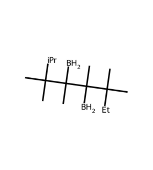 BC(C)(C(C)(C)CC)C(B)(C)C(C)(C)C(C)C